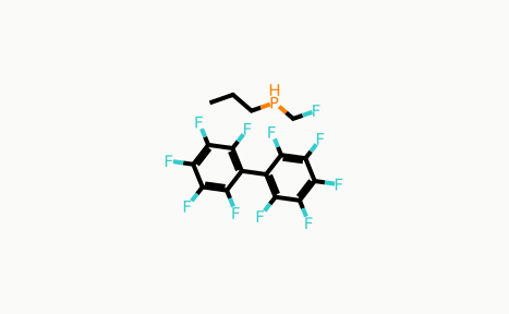 CCCPCF.Fc1c(F)c(F)c(-c2c(F)c(F)c(F)c(F)c2F)c(F)c1F